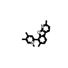 Cc1ccc2c(n1)oc1c(-c3cc(C)c(C)c[n+]3C)c(C)ccc12